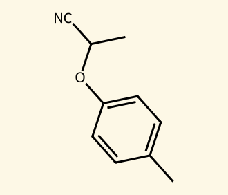 Cc1ccc(OC(C)C#N)cc1